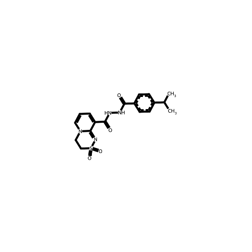 CC(C)c1ccc(C(=O)NNC(=O)C2=CC=CN3CCS(=O)(=O)N=C23)cc1